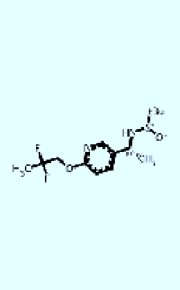 C[C@@H](N[S+]([O-])C(C)(C)C)c1ccc(OCC(C)(F)F)nc1